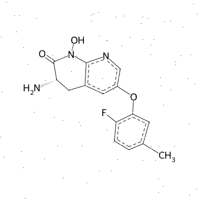 Cc1ccc(F)c(Oc2cnc3c(c2)C[C@H](N)C(=O)N3O)c1